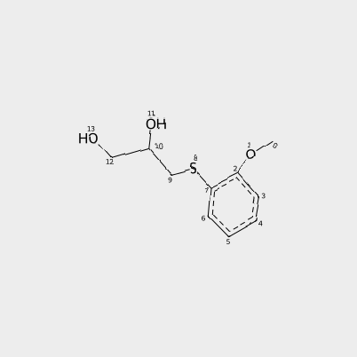 COc1ccccc1SCC(O)CO